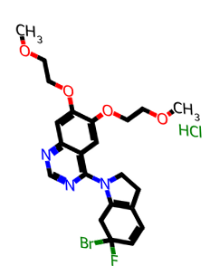 COCCOc1cc2ncnc(N3CCC4=C3CC(F)(Br)C=C4)c2cc1OCCOC.Cl